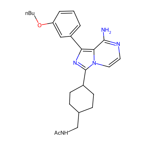 CCCCOc1cccc(-c2nc(C3CCC(CNC(C)=O)CC3)n3ccnc(N)c23)c1